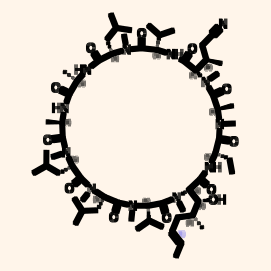 C/C=C/C[C@@H](C)[C@@H](O)[C@H]1C(=O)N[C@@H](CC)C(=O)N(C)[C@H](C)C(=O)N(C)[C@@H]([C@H](C)CC#N)C(=O)N[C@@H](C(C)C)C(=O)N(C)[C@@H](CC(C)C)C(=O)N[C@@H](C)C(=O)N[C@H](C)C(=O)N(C)[C@@H](CC(C)C)C(=O)N(C)[C@@H](CC(C)C)C(=O)N(C)[C@@H](C(C)C)C(=O)N1C